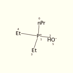 CCC[P+](C)(CC)CC.[OH-]